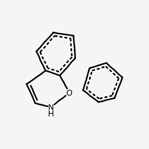 C1=Cc2ccccc2ON1.c1ccccc1